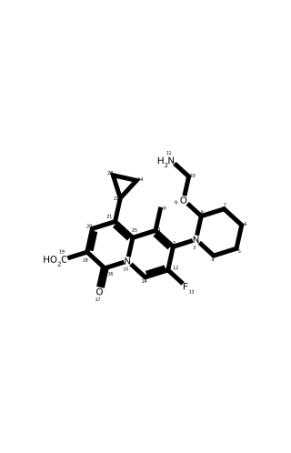 Cc1c(N2CCCCC2OCN)c(F)cn2c(=O)c(C(=O)O)cc(C3CC3)c12